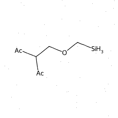 CC(=O)C(COC[SiH3])C(C)=O